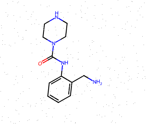 NCc1ccccc1NC(=O)N1CCNCC1